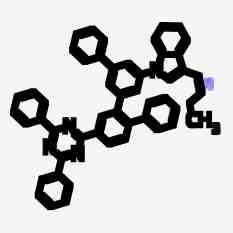 CC/C=C\c1cn(-c2cc(-c3ccccc3)cc(-c3cc(-c4nc(-c5ccccc5)nc(-c5ccccc5)n4)ccc3-c3ccccc3)c2)c2ccccc12